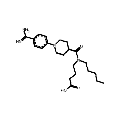 CCCCCN(CCCC(=O)O)C(=O)C1CCN(c2ccc(C(=N)N)cc2)CC1